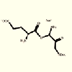 CCCCCCCCCCCC(=O)C(CCCC)OC(=O)[C@@H](N)CCC(=O)[O-].[Na+]